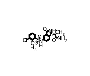 Cc1c(Cl)cccc1S(=O)(=O)Nc1ccc2c(c1)c(=O)[nH]n2C(C)C(N)=O